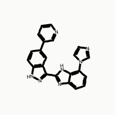 c1cncc(-c2ccc3[nH]nc(-c4nc5cccc(-n6ccnc6)c5[nH]4)c3c2)c1